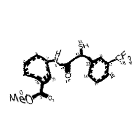 COC(=O)c1cccc(NC(=O)C(S)c2cccc(C(F)(F)F)c2)c1